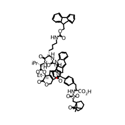 CC[C@@]1(OC(=O)[C@@H](NC(=O)[C@H](CCCCNC(=O)OCC2c3ccccc3-c3ccccc32)NC(=O)Nc2cccc(-c3ccc(C[C@H](NS(=O)(=O)CC45CCC(CC4=O)C5(C)C)C(=O)O)cc3)c2)C(C)C)C(=O)OCc2c1cc1n(c2=O)Cc2cc3ccccc3nc2-1